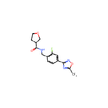 O=C(NCc1ccc(-c2noc(C(F)(F)F)n2)cc1F)C1CCOC1